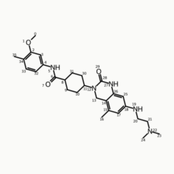 COc1cc(NC(=O)C2CCC(N3Cc4c(C)cc(NCCN(C)C)cc4NC3=O)CC2)ccc1C